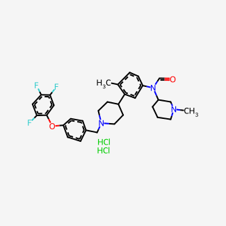 Cc1ccc(N(C=O)C2CCCN(C)C2)cc1C1CCN(Cc2ccc(Oc3cc(F)c(F)cc3F)cc2)CC1.Cl.Cl